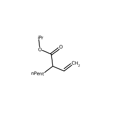 C=CC(CCCCC)C(=O)OC(C)C